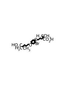 CC(C)(CCCOc1ccc(OCCCC(C)(C)C(=O)O)c(Br)c1)C(=O)O